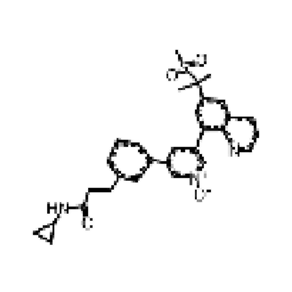 CC(C)(c1cc(-c2cc(-c3cccc(C=CC(=O)NC4CC4)c3)c[n+]([O-])c2)c2ncccc2c1)S(C)(=O)=O